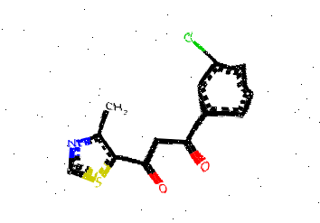 Cc1ncsc1C(=O)CC(=O)c1cccc(Cl)c1